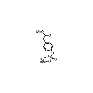 CCCCOP(=O)(OCCCC)Oc1ccc(CC(=O)OC)cc1